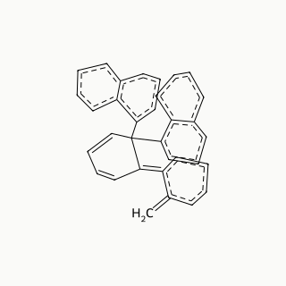 C=c1ccccc1=C1C=CC=CC1(c1cccc2ccccc12)c1cccc2ccccc12